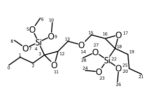 CCCC1([Si](OC)(OC)OC)OC1COCC1OC1(CCC)[Si](OC)(OC)OC